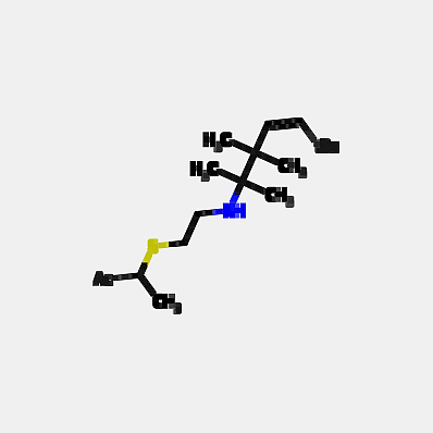 CC(=O)C(C)SCCNC(C)(C)C(C)(C)/C=C\C(C)(C)C